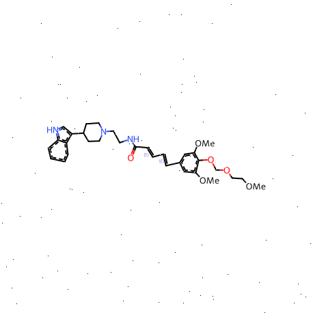 COCCOCOc1c(OC)cc(/C=C/C=C/C(=O)NCCN2CCC(c3c[nH]c4ccccc34)CC2)cc1OC